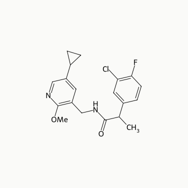 COc1ncc(C2CC2)cc1CNC(=O)C(C)c1ccc(F)c(Cl)c1